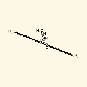 CCCCCCCCC=CCCCCCCCC(=O)OCC(COC(=O)CCCCCCCC=CCCCCCCCC)OC(=O)NCCNCC